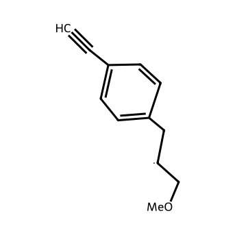 C#Cc1ccc(C[CH]COC)cc1